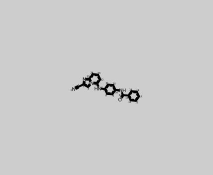 N#Cc1cn2c(Nc3ccc(NC(=O)c4ccccc4)cc3)cccc2n1